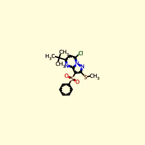 CSc1nn2c(Cl)cc(C(C)(C)C)nc2c1S(=O)(=O)c1ccccc1